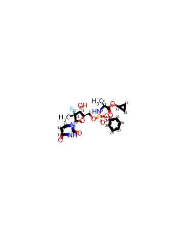 C[C@H](NP(=O)(OC[C@H]1O[C@@H](n2ccc(=O)[nH]c2=O)[C@](C)(F)[C@@H]1O)Oc1ccccc1)C(=O)OC1CC1